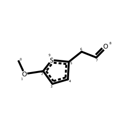 COc1ccc(CC=O)s1